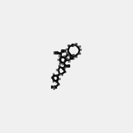 NCc1cccc(C2CCN(C(=O)c3ccc(B(O)O)c4c3CNC3(CCCCCCCCCC3)C4)CC2)c1